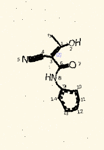 C/C(O)=C(\C#N)C(=O)Nc1ccccc1